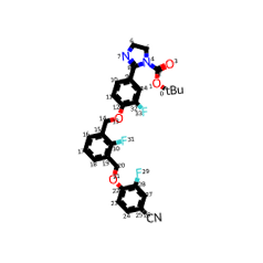 CC(C)(C)OC(=O)N1CCN=C1c1ccc(OCc2cccc(COc3ccc(C#N)cc3F)c2F)c(F)c1